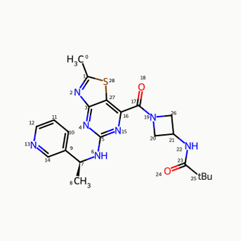 Cc1nc2nc(N[C@@H](C)c3cccnc3)nc(C(=O)N3CC(NC(=O)C(C)(C)C)C3)c2s1